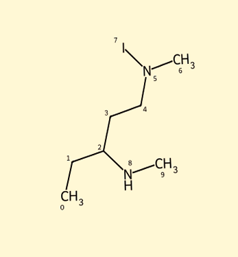 CCC(CCN(C)I)NC